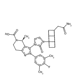 Cc1cc(-n2nc3c(c2-n2ccn(C45C6C7C4C4C5C6C74CC(N)=O)c2=O)[C@H](C)N(C(=O)O)CC3)cc(C)c1F